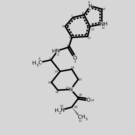 CC(NC(=O)c1ccc2nc[nH]c2c1)C1CCN(C(=O)[C@H](C)N)CC1